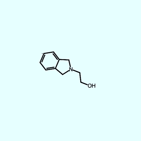 OCCN1Cc2c[c]ccc2C1